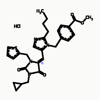 CCCCc1ncc(/C=C2/C(=O)N(CC3CC3)C(=O)N2Cc2cccs2)n1Cc1ccc(C(=O)OC)cc1.Cl